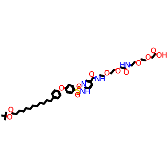 CC(C)(C)OC(=O)CCCCCCCCCCCc1ccc(Oc2ccc(S(=O)(=O)Nc3ccc(C(=O)NCCOCCOCC(=O)NCCOCCOCC(=O)O)cn3)cc2)cc1